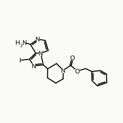 Nc1nccn2c(C3CCCN(C(=O)OCc4ccccc4)C3)nc(I)c12